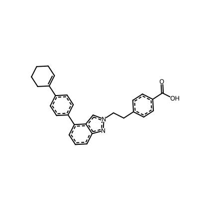 O=C(O)c1ccc(CCn2cc3c(-c4ccc(C5=CCCCC5)cc4)cccc3n2)cc1